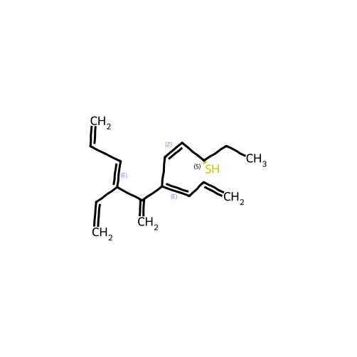 C=C/C=C(\C=C)C(=C)C(/C=C\[C@@H](S)CC)=C/C=C